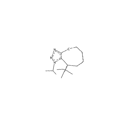 CC(C)n1nnc2c1C(C(C)(C)C)CCCCC2